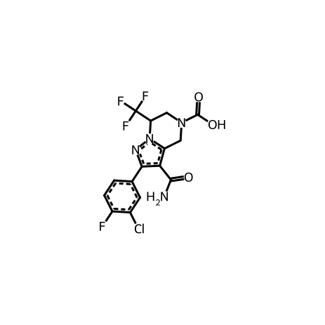 NC(=O)c1c(-c2ccc(F)c(Cl)c2)nn2c1CN(C(=O)O)CC2C(F)(F)F